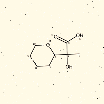 CC(O)(C(=O)O)C1CCCCO1